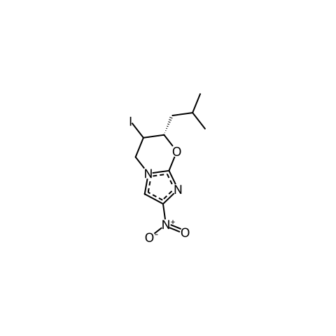 CC(C)C[C@@H]1Oc2nc([N+](=O)[O-])cn2CC1I